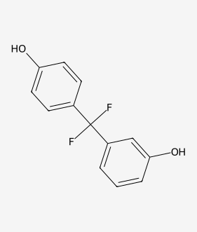 Oc1ccc(C(F)(F)c2cccc(O)c2)cc1